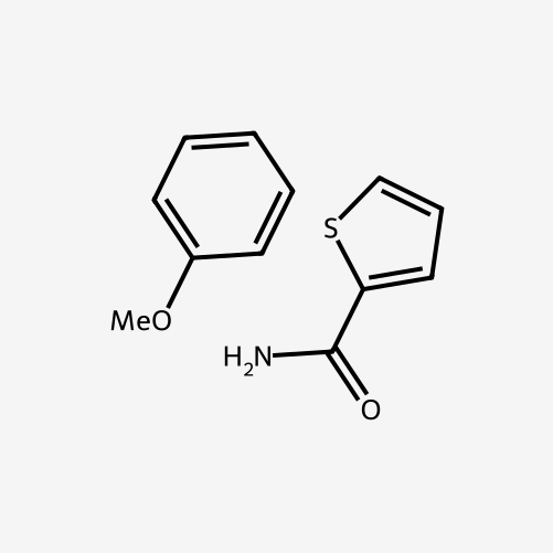 COc1ccccc1.NC(=O)c1cccs1